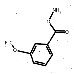 NOC(=O)c1cccc(OC(F)(F)F)c1